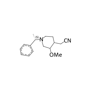 COC1CN([C@@H](C)c2ccccc2)CCC1CC#N